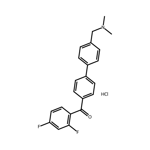 CN(C)Cc1ccc(-c2ccc(C(=O)c3ccc(F)cc3F)cc2)cc1.Cl